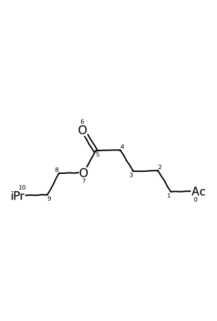 CC(=O)CCCCC(=O)OCCC(C)C